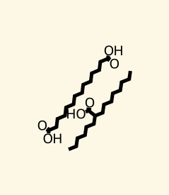 CCCCCCCCC(CCCCCC)C(=O)O.O=C(O)CCCCCCCCCCCCC(=O)O